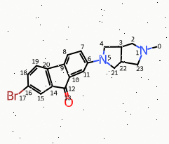 CN1CC2CN(c3ccc4c(c3)C(=O)c3cc(Br)ccc3-4)CC2C1